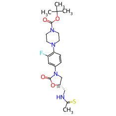 CC(=S)NC[C@H]1CN(c2ccc(N3CCN(C(=O)OC(C)(C)C)CC3)c(F)c2)C(=O)O1